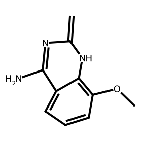 C=C1N=C(N)c2cccc(OC)c2N1